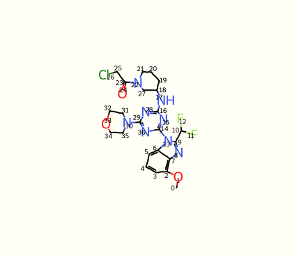 COc1cccc2c1nc(C(F)F)n2-c1nc(NC2CCCN(C(=O)CCl)C2)nc(N2CCOCC2)n1